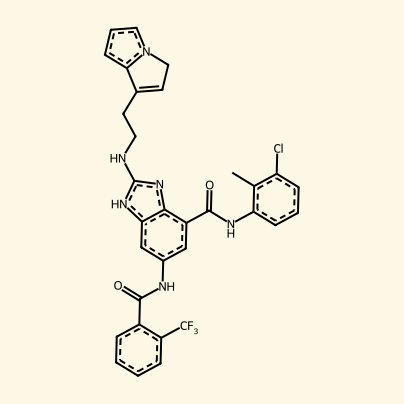 Cc1c(Cl)cccc1NC(=O)c1cc(NC(=O)c2ccccc2C(F)(F)F)cc2[nH]c(NCCC3=CCn4cccc43)nc12